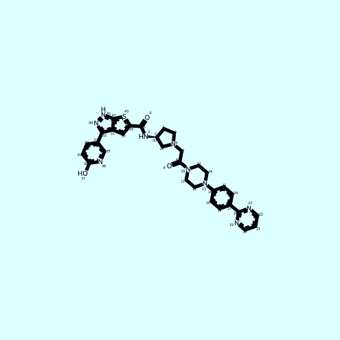 O=C(N[C@H]1CCN(CC(=O)N2CCN(c3ccc(-c4ncccn4)cc3)CC2)C1)c1cc2c(-c3ccc(O)nc3)n[nH]c2s1